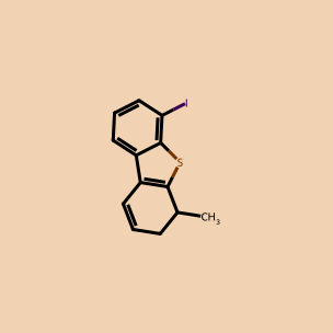 CC1CC=Cc2c1sc1c(I)cccc21